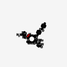 CO[C@@H]1[C@@H]2O[P@](=O)(SCc3ccc(OC(=O)c4ccc(C)cc4)cc3)OC[C@H]3O[C@@H](n4cnc5c(N)ncnc54)[C@H](OP(=O)(O)OC[C@H]2O[C@H]1n1ccc(=O)[nH]c1=O)[C@@H]3F